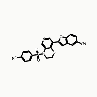 N#Cc1ccc(S(=O)(=O)N2CCSc3c(-c4cc5cc(C#N)ccc5o4)cncc32)cc1